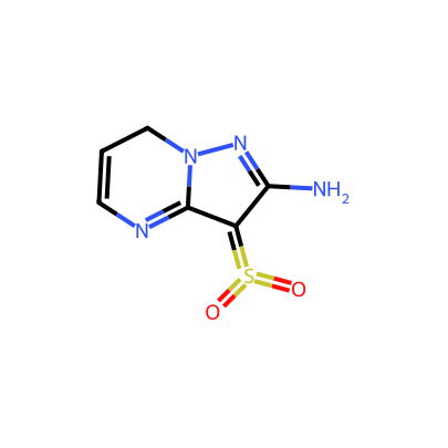 NC1=NN2CC=CN=C2C1=S(=O)=O